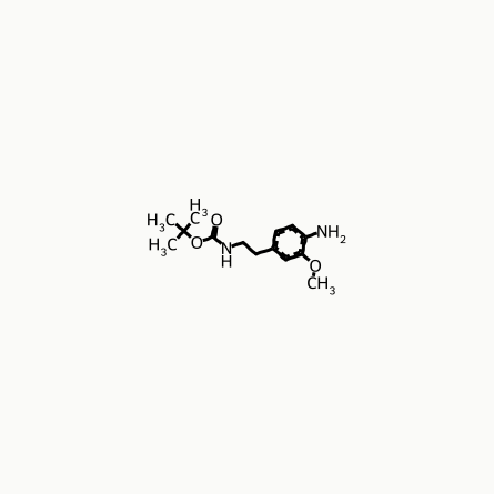 COc1cc(CCNC(=O)OC(C)(C)C)ccc1N